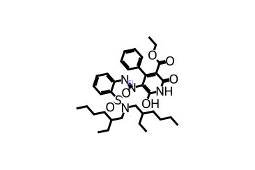 CCCCC(CC)CN(CC(CC)CCCC)S(=O)(=O)c1ccccc1/N=N/c1c(O)[nH]c(=O)c(C(=O)OCC)c1-c1ccccc1